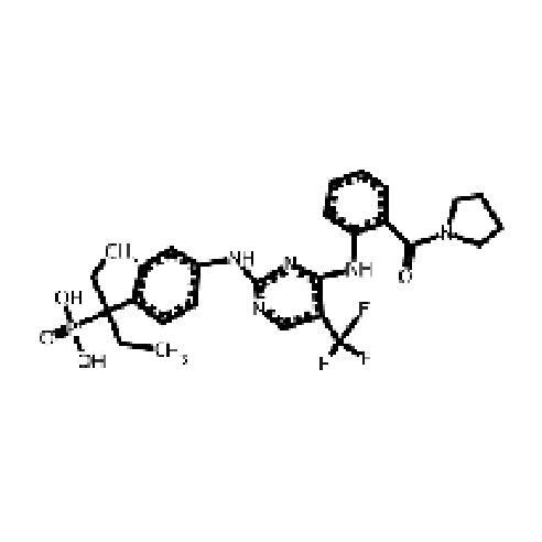 CCC(CC)(c1ccc(Nc2ncc(C(F)(F)F)c(Nc3ccccc3C(=O)N3CCCC3)n2)cc1)P(=O)(O)O